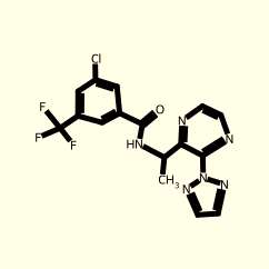 CC(NC(=O)c1cc(Cl)cc(C(F)(F)F)c1)c1nccnc1-n1nccn1